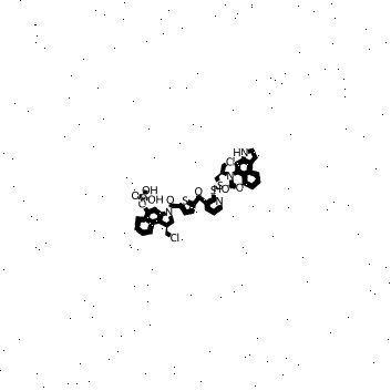 O=C(c1ccc(C(=O)N2C[C@@H](CCl)c3c2cc(OP(=O)(O)O)c2ccccc32)s1)c1cccnc1SSC[C@@H](CCl)N(C(=O)O)c1cc2c(c3ccccc13)CCN2